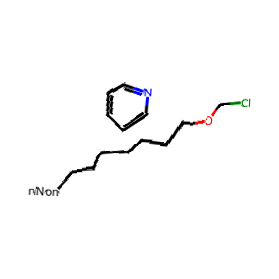 CCCCCCCCCCCCCCCCOCCl.c1ccncc1